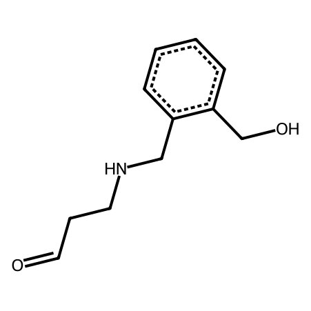 O=CCCNCc1ccccc1CO